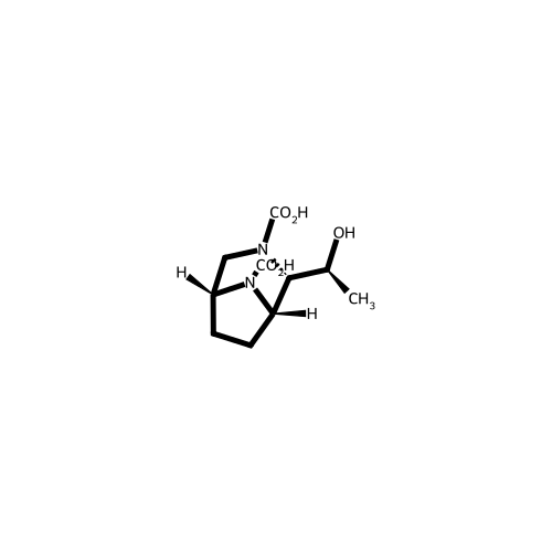 C[C@H](O)[C@@H]1[C@@H]2CC[C@H](CN1C(=O)O)N2C(=O)O